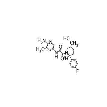 Cl.[2H]C1(c2ccc(F)cc2)CCC(C)CN1C(=O)C(=O)Nc1cnc(N)c(C)c1